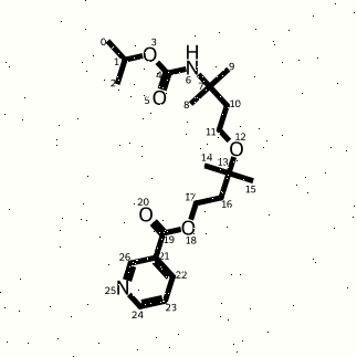 CC(C)OC(=O)NC(C)(C)CCOC(C)(C)CCOC(=O)c1cccnc1